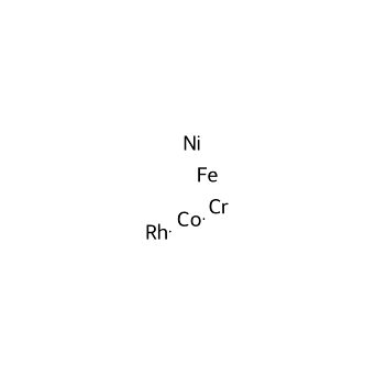 [Co].[Cr].[Fe].[Ni].[Rh]